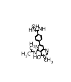 CC(C)Nc1nc(-c2ccc(C(=N)NO)cc2)cc2ncn(C)c(=O)c12